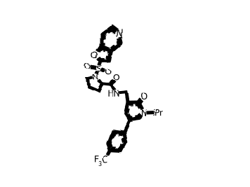 CC(C)n1cc(-c2ccc(C(F)(F)F)cc2)cc(CNC(=O)C2CCCN2S(=O)(=O)c2cc3cnccc3o2)c1=O